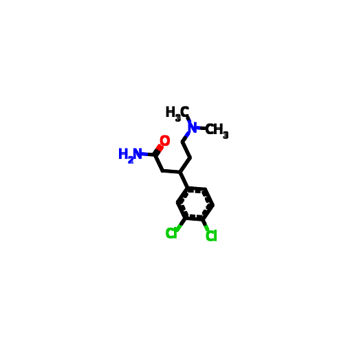 CN(C)CCC(CC(N)=O)c1ccc(Cl)c(Cl)c1